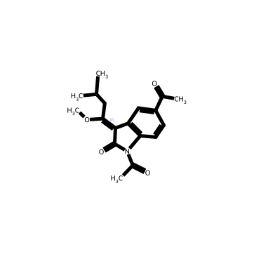 CO/C(CC(C)C)=C1\C(=O)N(C(C)=O)c2ccc(C(C)=O)cc21